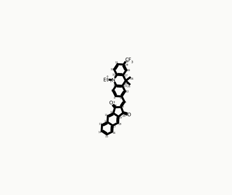 CCN1c2ccc(C=C3C(=O)c4cc5ccccc5cc4C3=O)cc2C(C)(C)c2cc(C(F)(F)F)ccc21